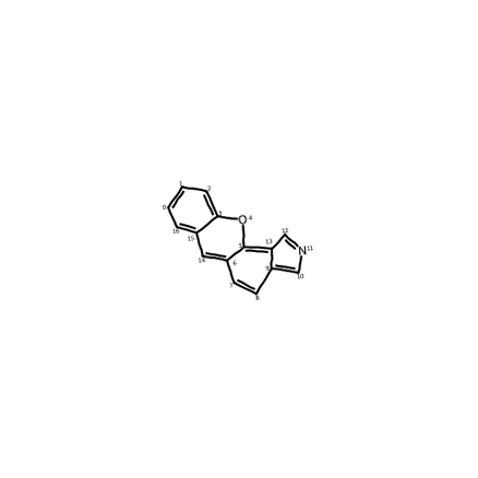 c1ccc2oc3c(ccc4cncc43)cc2c1